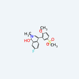 COc1ccc(S(C)(=O)=O)cc1C1=CN(C)C(O)c2cc(F)ccc21